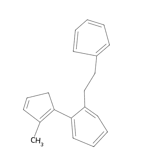 CC1=C(c2ccccc2CCc2ccccc2)CC=C1